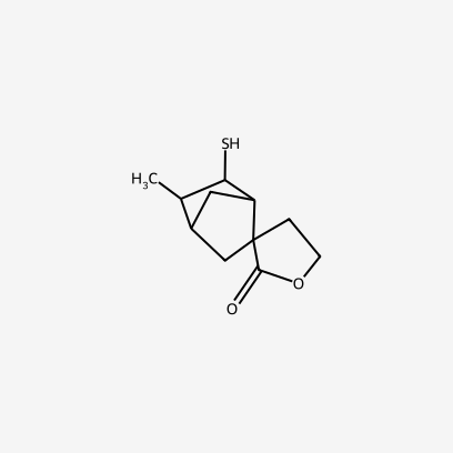 CC1C2CC(C1S)C1(CCOC1=O)C2